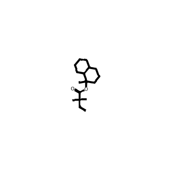 CCC(C)(C)C(=O)OC1(C)CCCC2CCCCC21